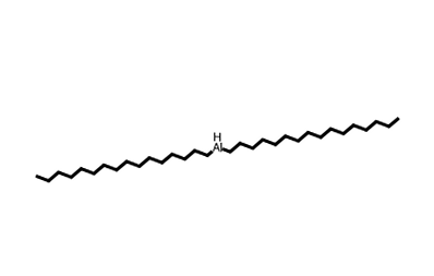 CCCCCCCCCCCCCCC[CH2][AlH][CH2]CCCCCCCCCCCCCCC